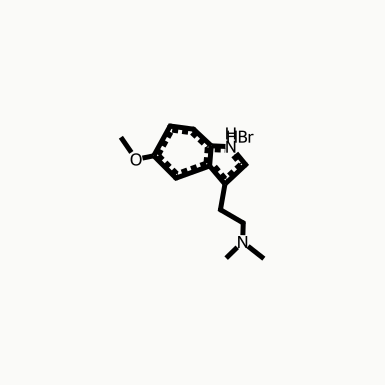 Br.COc1ccc2[nH]cc(CCN(C)C)c2c1